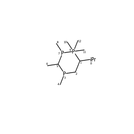 CC(C)C1CP(C)C(C)P(C)P1(C)(C)C